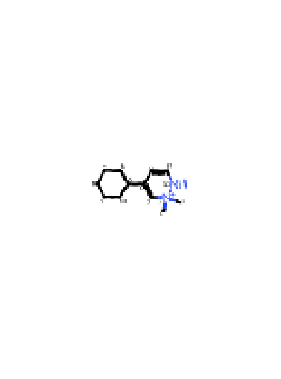 C[N+]1(C)C=C(C2CCCCC2)C=CN1